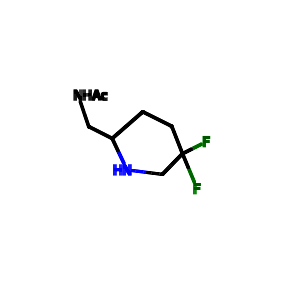 CC(=O)NCC1CCC(F)(F)CN1